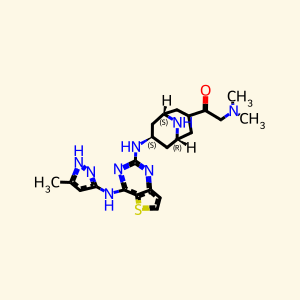 Cc1cc(Nc2nc(N[C@@H]3C[C@H]4CC(C(=O)CN(C)C)C[C@@H](C3)N4)nc3ccsc23)n[nH]1